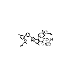 C=CCOC1(C)CCN(c2c(C(OC(C)(C)C)C(=O)O)c(C)cn3nc(-c4cccc(-c5cc(C)ccc5O[C@@H](C)CC=C)c4)cc23)CC1